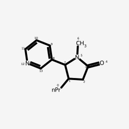 CCCC1CC(=O)N(C)C1c1cccnc1